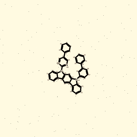 c1ccc(-c2cnc(-n3c4ccccc4c4cc5c6ccccc6n(-c6cccc(-c7ccccc7)c6)c5cc43)nc2)cc1